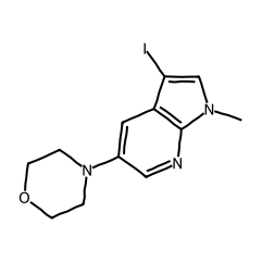 Cn1cc(I)c2cc(N3CCOCC3)cnc21